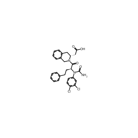 NC(=O)N(c1ccc(Cl)c(Cl)c1)[C@@H](CCc1ccccc1)C(=O)N1Cc2ccccc2C[C@@H]1CC(=O)O